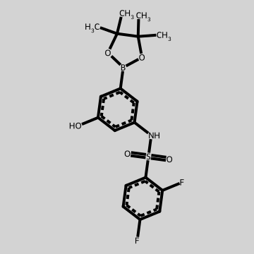 CC1(C)OB(c2cc(O)cc(NS(=O)(=O)c3ccc(F)cc3F)c2)OC1(C)C